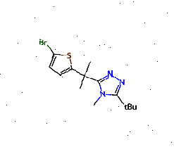 Cn1c(C(C)(C)C)nnc1C(C)(C)c1ccc(Br)s1